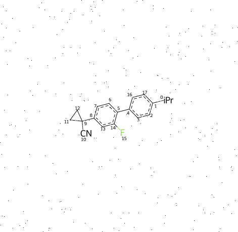 CC(C)c1ccc(-c2ccc(C3(C#N)CC3)cc2F)cc1